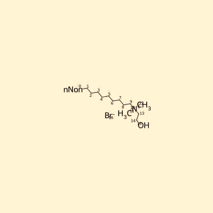 CCCCCCCCCCCCCCCCCC[N+](C)(C)CCO.[Br-]